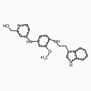 COc1cc(Nc2ccnc(CO)c2)ccc1NCCc1c[nH]c2ccccc12